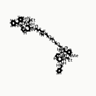 CC[C@H](NC)C(=O)N[C@@H]1C(=O)N2[C@@H](CC[C@@H]1CNC(=O)CCc1cn(CCOCCOCCOCCNC(=O)[C@@H](NC(=O)[C@@H]3CC[C@@H]4CC[C@H](CNCc5ccccc5)[C@H](NC(=O)[C@H](CC)NC)C(=O)N43)c3ccccc3)nn1)CC[C@H]2C(=O)NC(c1ccccc1)c1ccccc1